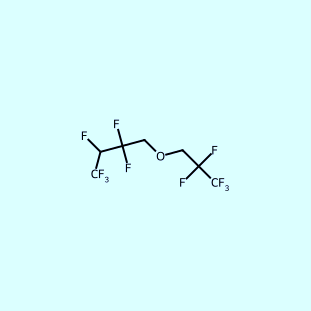 FC(C(F)(F)F)C(F)(F)COCC(F)(F)C(F)(F)F